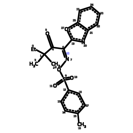 CCC(C)(C)C(=O)/C(=N\OS(=O)(=O)c1ccc(C)cc1)c1nc2ccccc2o1